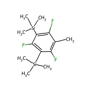 Cc1c(F)c([Si](C)(C)C)c(F)c([Si](C)(C)C)c1F